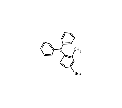 Cc1cc(C(C)(C)C)ccc1[S+](c1ccccc1)c1ccccc1